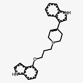 C1=C(c2c[nH]c3ccccc23)CCN(CCCOc2cccc3[nH]ccc23)C1